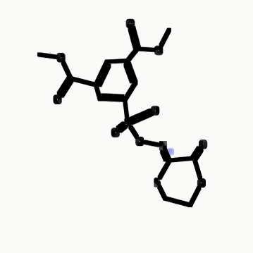 COC(=O)c1cc(C(=O)OC)cc(S(=O)(=O)O/N=C2\SCCOC2=O)c1